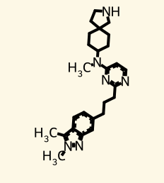 Cc1c2ccc(CCCc3nccc(N(C)C4CCC5(CCNC5)CC4)n3)cc2nn1C